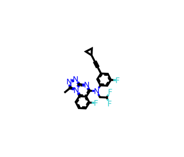 Cc1nnc2nc(N(CC(F)F)c3cc(F)cc(C#CC4CC4)c3)c3c(F)cccc3n12